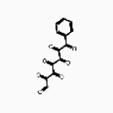 O=CC(=O)C(=O)C(=O)C(=O)C(=O)C(=O)c1ccccc1